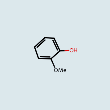 COc1c[c]ccc1O